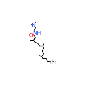 CC(=CC(=O)NCCN(C)C)CCCC(C)CCCC(C)CCCC(C)C